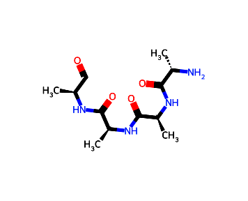 C[C@H](N)C(=O)N[C@@H](C)C(=O)N[C@@H](C)C(=O)N[C@@H](C)C=O